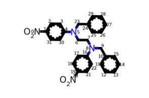 O=[N+]([O-])c1ccc(N(CCN(Cc2ccccc2)c2ccc([N+](=O)[O-])cc2)Cc2ccccc2)cc1